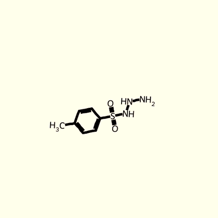 Cc1ccc(S(=O)(=O)NNN)cc1